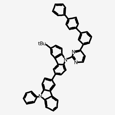 CC(C)(C)c1ccc2c(c1)c1cc(-c3ccc4c(c3)c3ccccc3n4-c3ccccc3)ccc1n2-c1nccc(-c2cccc(-c3ccc(-c4ccccc4)cc3)c2)n1